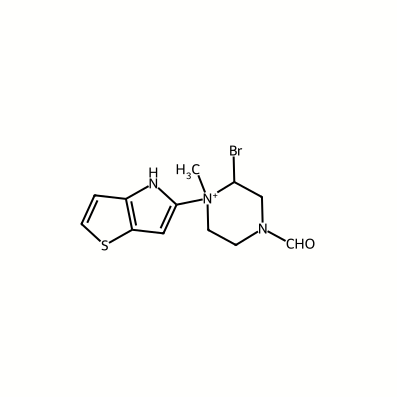 C[N+]1(c2cc3sccc3[nH]2)CCN(C=O)CC1Br